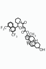 C[C@]12CC[C@H]3[C@@H](CC=C4C[C@@H](O)CC[C@@]43C)[C@@H]1CC[C@@H]2OC(=O)CCC(=O)N1CCCCC1C(O)c1cc(C(F)(F)F)nc2c(C(F)(F)F)cccc12